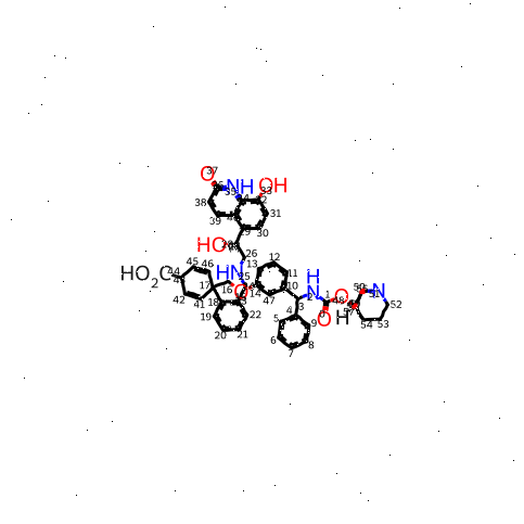 O=C(NC(c1ccccc1)c1cccc(OCC2(c3ccccc3CNC[C@H](O)c3ccc(O)c4[nH]c(=O)ccc34)C=CC(C(=O)O)C=C2)c1)O[C@H]1CN2CCC1CC2